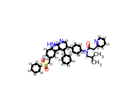 CC(C)CN(C(=O)Cc1ccccn1)c1ccc(-c2cnc3[nH]c4ccc(CS(=O)(=O)c5ccccc5)cc4c3c2-c2ccccc2)cc1